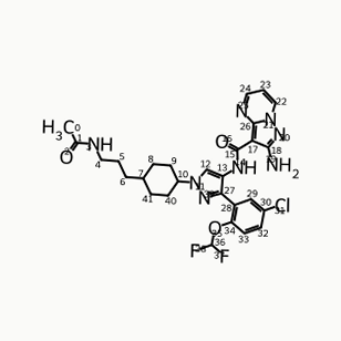 CC(=O)NCCCC1CCC(n2cc(NC(=O)c3c(N)nn4cccnc34)c(-c3cc(Cl)ccc3OC(F)F)n2)CC1